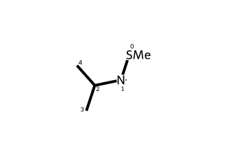 CS[N]C(C)C